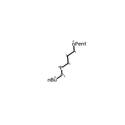 CCCCCCCC[P][P]CCCC